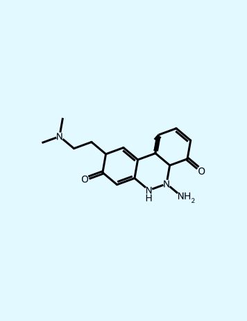 CN(C)CCC1C=C2C(=CC1=O)NN(N)C1C(=O)C=CC3=CC=CCC321